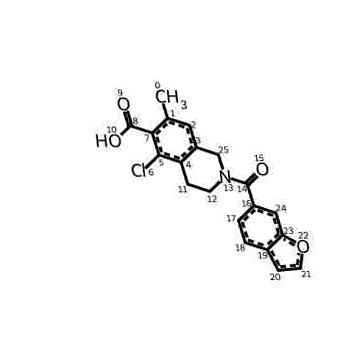 Cc1cc2c(c(Cl)c1C(=O)O)CCN(C(=O)c1ccc3ccoc3c1)C2